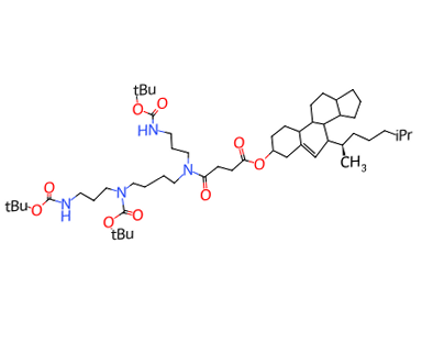 CC(C)CCC[C@@H](C)C1C=C2CC(OC(=O)CCC(=O)N(CCCCN(CCCNC(=O)OC(C)(C)C)C(=O)OC(C)(C)C)CCCNC(=O)OC(C)(C)C)CCC2C2CCC3CCCC3C21